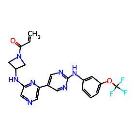 C=CC(=O)N1CC(Nc2cncc(-c3cnc(Nc4cccc(OC(F)(F)F)c4)nc3)n2)C1